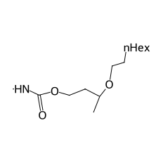 CCCCCCCCOC(C)CCOC([NH])=O